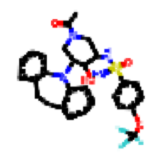 CC(=O)N1CC(NS(=N)(=O)c2ccc(OC(F)(F)F)cc2)C(O)C(N2c3ccccc3CCc3ccccc32)C1